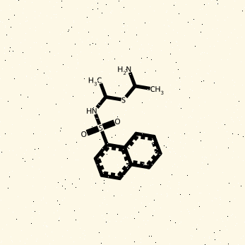 CC(N)SC(C)NS(=O)(=O)c1cccc2ccccc12